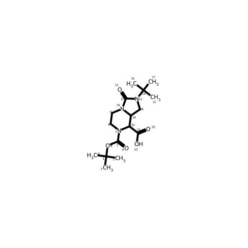 CC(C)(C)OC(=O)N1CCN2C(=O)N(C(C)(C)C)CC2C1C(=O)O